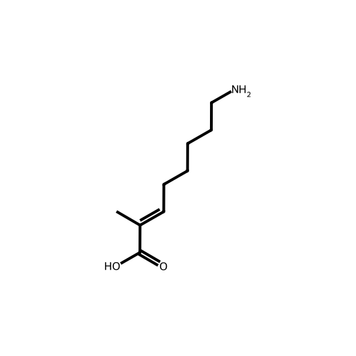 C/C(=C\CCCCCN)C(=O)O